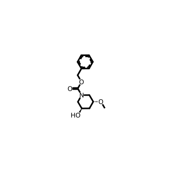 CO[C@@H]1C[C@@H](O)CN(C(=O)OCc2ccccc2)C1